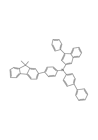 CC1(C)c2ccccc2-c2ccc(-c3ccc(N(c4ccc(-c5ccccc5)cc4)c4cc(-c5ccccc5)c5ccccc5c4)cc3)cc21